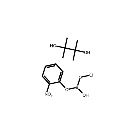 CC(C)(O)C(C)(C)O.O=[N+]([O-])c1ccccc1OB(O)OCl